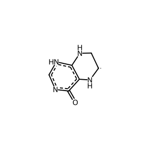 O=c1nc[nH]c2c1N[CH]CN2